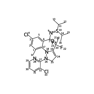 Cc1cc(Cl)cc(C(=O)N=S(C(C)C)C(C)C)c1N1C(C(F)(F)F)=CCN1c1ncccc1Cl